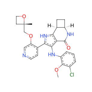 COc1c(Cl)cccc1Nc1c(-c2ccncc2OC[C@]2(C)CCO2)[nH]c2c1C(=O)N[C@@H]1CC[C@H]21